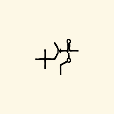 CCOP(C)(=O)N(C)CC(C)(C)C